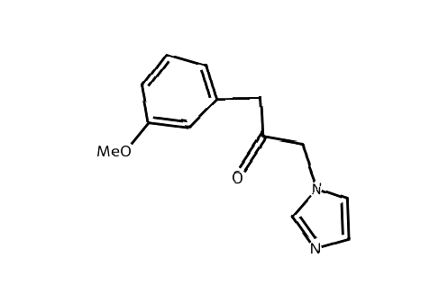 COc1cccc(CC(=O)Cn2ccnc2)c1